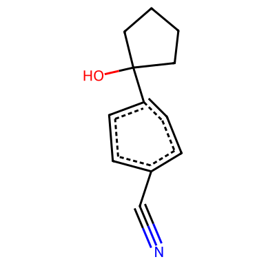 N#Cc1ccc(C2(O)CCCC2)cc1